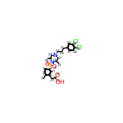 Cc1ccc(S(=O)(=O)N2C(C)CN(CCCc3ccc(Cl)c(Cl)c3)CC2C)cc1CC(=O)O